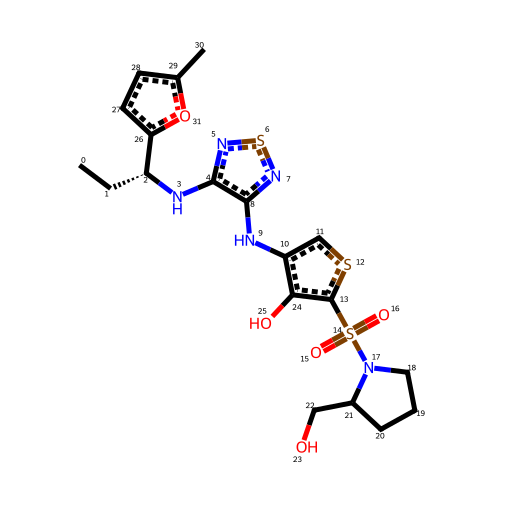 CC[C@@H](Nc1nsnc1Nc1csc(S(=O)(=O)N2CCCC2CO)c1O)c1ccc(C)o1